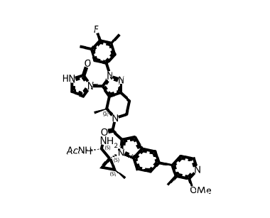 COc1nccc(-c2ccc3c(c2)cc(C(=O)N2CCc4nn(-c5cc(C)c(F)c(C)c5)c(-n5cc[nH]c5=O)c4[C@@H]2C)n3[C@@]2([C@@H](N)NC(C)=O)C[C@@H]2C)c1C